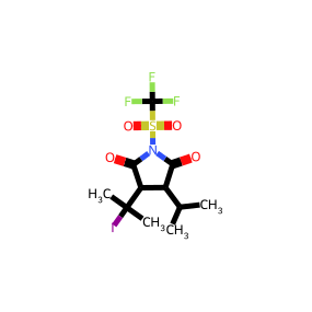 CC(C)C1C(=O)N(S(=O)(=O)C(F)(F)F)C(=O)C1C(C)(C)I